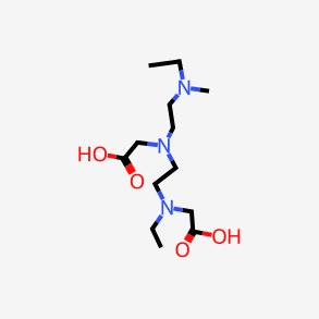 CCN(C)CCN(CCN(CC)CC(=O)O)CC(=O)O